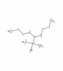 CCCOC(OCCC)C(C)(C)Br